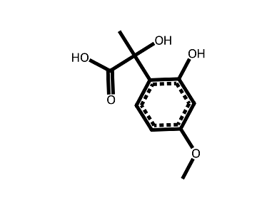 COc1ccc(C(C)(O)C(=O)O)c(O)c1